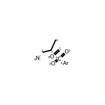 CCC.O=C=O.[Ar].[C]=O.[N]